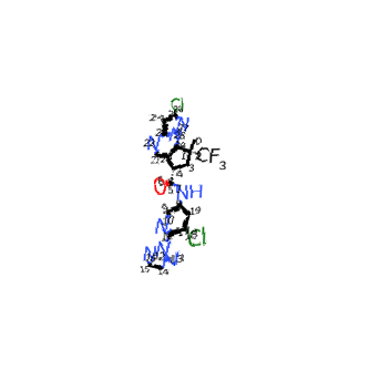 C[C@@]1(C(F)(F)F)C[C@H](C(=O)Nc2cnc(-n3nccn3)c(Cl)c2)c2cnc3cc(Cl)nn3c21